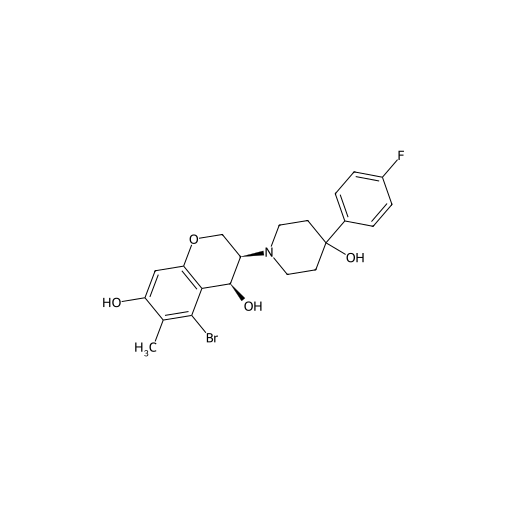 Cc1c(O)cc2c(c1Br)[C@H](O)[C@H](N1CCC(O)(c3ccc(F)cc3)CC1)CO2